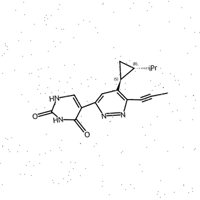 CC#Cc1nnc(-c2c[nH]c(=O)[nH]c2=O)cc1[C@H]1C[C@@H]1C(C)C